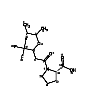 CCC(C)OC(CC(=O)N1CCC[C@H]1C(=O)O)C(F)(F)F